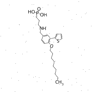 CCCCCCCCCOc1ccc(CNCCCP(=O)(O)O)cc1-c1cccs1